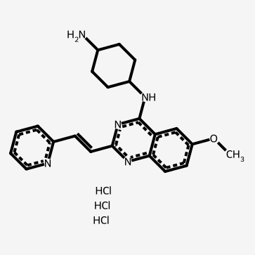 COc1ccc2nc(C=Cc3ccccn3)nc(NC3CCC(N)CC3)c2c1.Cl.Cl.Cl